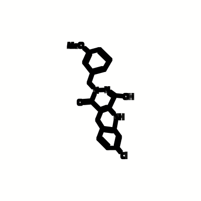 COc1cccc(Cn2nc(O)c3c(c2=O)Cc2ccc(Cl)cc2N3)c1